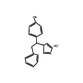 Cl.N#Cc1ccc(C(Cc2ccccc2)n2ccnc2)cc1